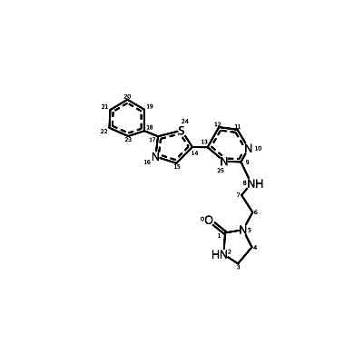 O=C1NCCN1CCNc1nccc(-c2cnc(-c3ccccc3)s2)n1